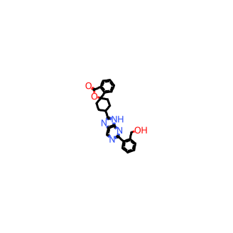 O=C1OC2(CCC(c3nc4cnc(-c5ccccc5CO)nc4[nH]3)CC2)c2ccccc21